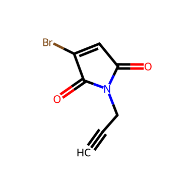 C#CCN1C(=O)C=C(Br)C1=O